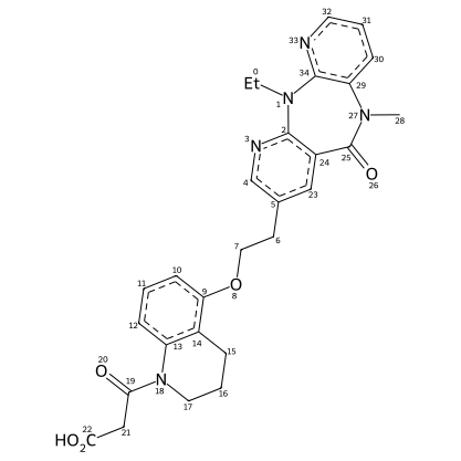 CCN1c2ncc(CCOc3cccc4c3CCCN4C(=O)CC(=O)O)cc2C(=O)N(C)c2cccnc21